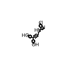 Oc1ccc(C(c2ccc(O)cc2)N2CCN(CCCNc3ccnc4cc(Cl)ccc34)CC2)cc1